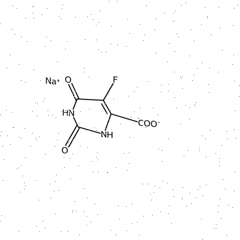 O=C([O-])c1[nH]c(=O)[nH]c(=O)c1F.[Na+]